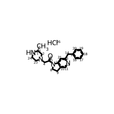 C[C@@H]1CN(CC(=O)N2CCc3cnc(Cc4ccccc4)cc32)CCN1.Cl